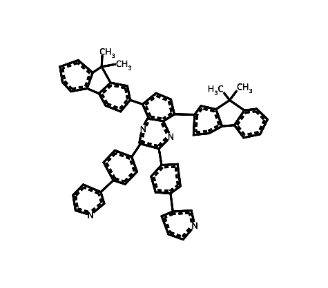 CC1(C)c2ccccc2-c2ccc(-c3ccc(-c4ccc5c(c4)C(C)(C)c4ccccc4-5)c4nc(-c5ccc(-c6cccnc6)cc5)c(-c5ccc(-c6cccnc6)cc5)nc34)cc21